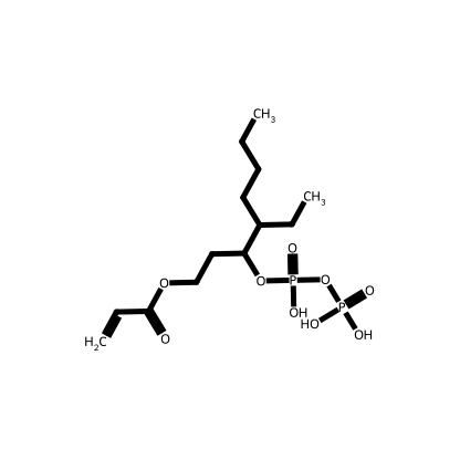 C=CC(=O)OCCC(OP(=O)(O)OP(=O)(O)O)C(CC)CCCC